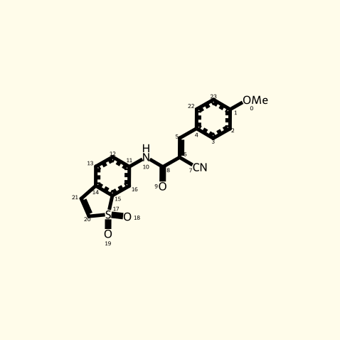 COc1ccc(C=C(C#N)C(=O)Nc2ccc3c(c2)S(=O)(=O)C=C3)cc1